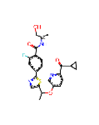 CC(Oc1ccc(C(=O)C2CC2)nc1)c1cnc(-c2ccc(C(=O)N[C@H](C)CO)c(F)c2)s1